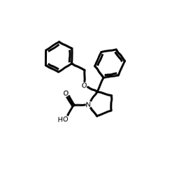 O=C(O)N1CCCC1(OCc1ccccc1)c1ccccc1